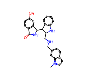 Cn1ccc2ccc(CNCC3Nc4ccccc4C3C3NC(=O)c4ccc(O)cc43)cc21